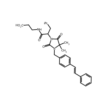 CC(C)CC(C(=O)NCCC(=O)O)N1C(=O)N(Cc2ccc(C=Cc3ccccc3)cc2)C(C)(C)C1=O